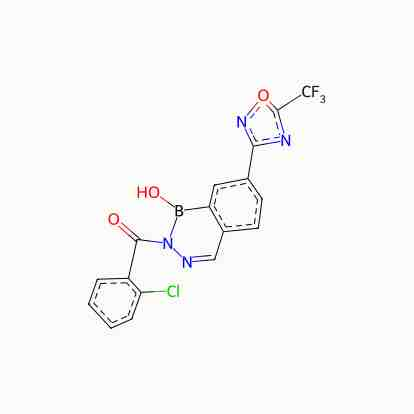 O=C(c1ccccc1Cl)N1N=Cc2ccc(-c3noc(C(F)(F)F)n3)cc2B1O